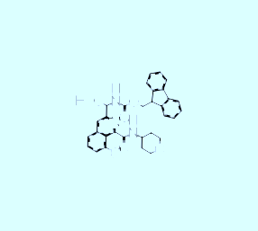 CC(NC(=O)OCC1c2ccccc2-c2ccccc21)c1cc2cccc(Cl)c2c(C(=O)NC2CCOCC2)n1